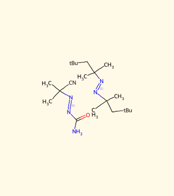 CC(C)(C#N)/N=N/C(N)=O.CC(C)(C)CC(C)(C)/N=N/C(C)(C)CC(C)(C)C